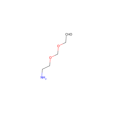 NCCOCOCC=O